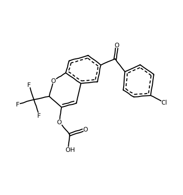 O=C(O)OC1=Cc2cc(C(=O)c3ccc(Cl)cc3)ccc2OC1C(F)(F)F